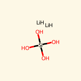 O[Si](O)(O)O.[LiH].[LiH]